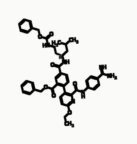 CCOc1ccc(-c2ccc(C(=O)N[C@H](CCNC(=O)OCc3ccccc3)CC(C)C)cc2C(=O)OCc2ccccc2)c(C(=O)Nc2ccc(C(=N)N)cc2)n1